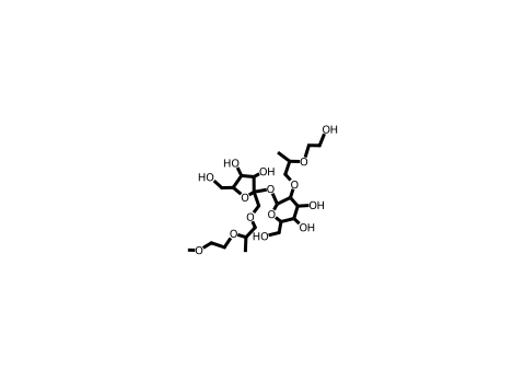 COCCOC(C)COCC1(OC2OC(CO)C(O)C(O)C2OCC(C)OCCO)OC(CO)C(O)C1O